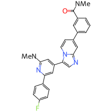 CNC(=O)c1cccc(-c2ccn3c(-c4cc(NC)nc(-c5ccc(F)cc5)c4)cnc3c2)c1